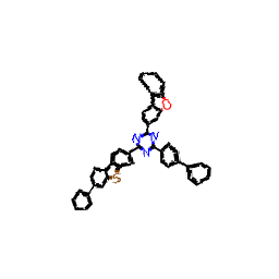 c1ccc(-c2ccc(-c3nc(-c4ccc5c(c4)oc4ccccc45)nc(-c4ccc5c(c4)sc4cc(-c6ccccc6)ccc45)n3)cc2)cc1